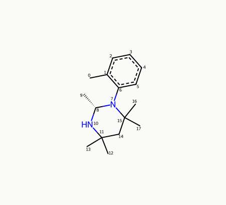 Cc1ccccc1N1[C@@H](C)NC(C)(C)CC1(C)C